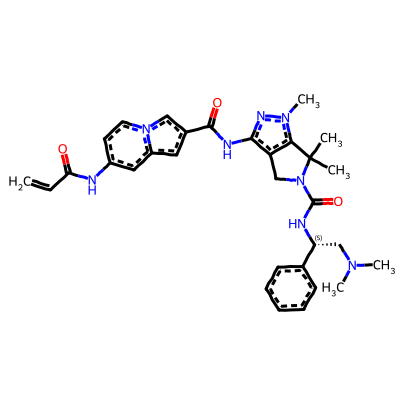 C=CC(=O)Nc1ccn2cc(C(=O)Nc3nn(C)c4c3CN(C(=O)N[C@H](CN(C)C)c3ccccc3)C4(C)C)cc2c1